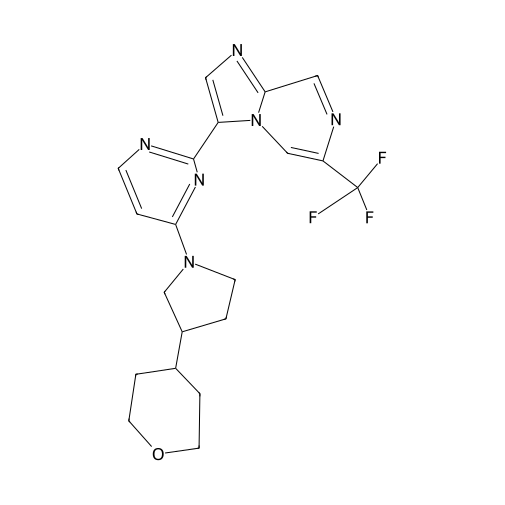 FC(F)(F)c1cn2c(-c3nccc(N4CCC(C5CCOCC5)C4)n3)cnc2cn1